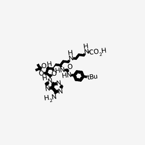 CC1(C)O[C@@H]2[C@H](O1)[C@@H](CC(CCNCCCNC(=O)O)NC(=O)Nc1ccc(C(C)(C)C)cc1)O[C@H]2n1cnc2c(N)ncnc21